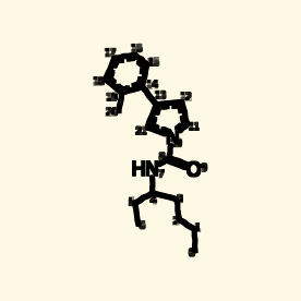 CCCCC(CC)NC(=O)n1ccc(-c2ccccc2C)c1